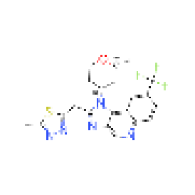 Cc1nnc(Cc2nc3cnc4ccc(C(F)(F)F)cc4c3n2[C@@H]2CCO[C@H](C)C2)s1